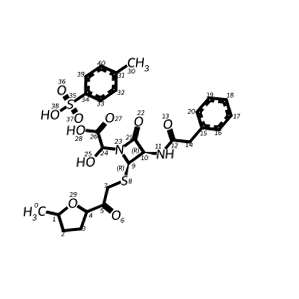 CC1CCC(C(=O)CS[C@@H]2[C@H](NC(=O)Cc3ccccc3)C(=O)N2C(O)C(=O)O)O1.Cc1ccc(S(=O)(=O)O)cc1